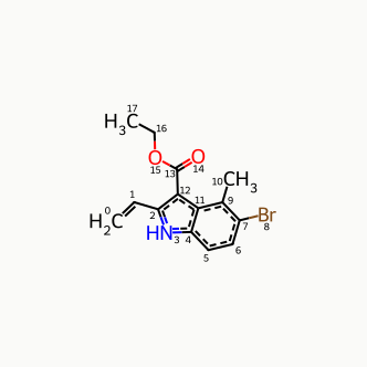 C=Cc1[nH]c2ccc(Br)c(C)c2c1C(=O)OCC